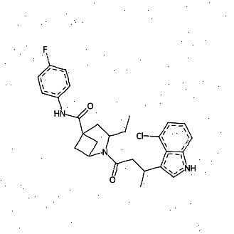 CCC1CC2(C(=O)Nc3ccc(F)cc3)CC(C2)N1C(=O)CC(C)c1c[nH]c2cccc(Cl)c12